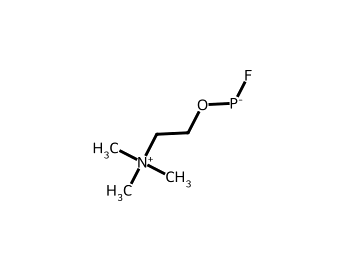 C[N+](C)(C)CCO[P-]F